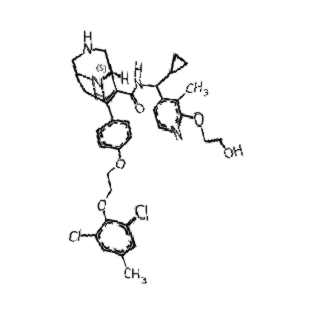 Cc1cc(Cl)c(OCCOc2ccc(C3=C(C(=O)NC(c4ccnc(OCCO)c4C)C4CC4)[C@H]4CNCC(C3)N4)cc2)c(Cl)c1